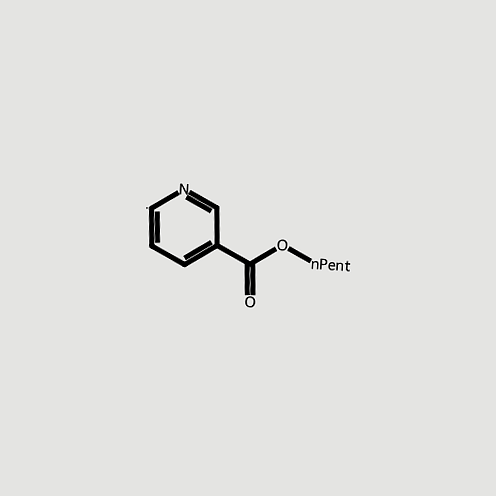 CCCCCOC(=O)c1cc[c]nc1